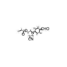 C=CC(=O)OCCN(CCC#N)c1ccc(C=O)cc1